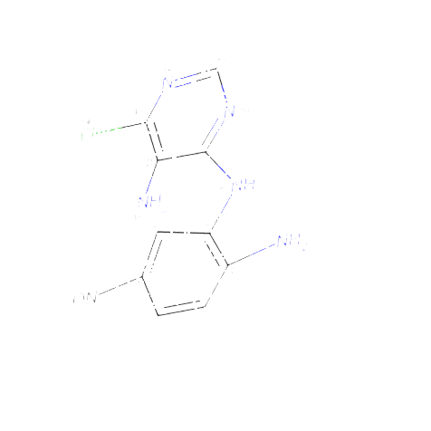 Nc1ccc(N=O)cc1Nc1ncnc(Cl)c1N